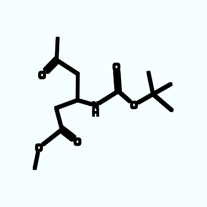 COC(=O)CC(CC(C)=O)NC(=O)OC(C)(C)C